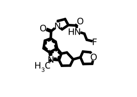 Cn1c2c(c3cc(C(=O)N4CCC(C(=O)NCCF)C4)ccc31)CC(C1CCOCC1)CC2